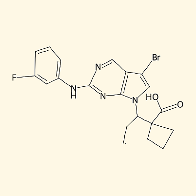 [CH2]CC(n1cc(Br)c2cnc(Nc3cccc(F)c3)nc21)C1(C(=O)O)CCC1